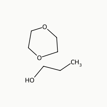 C1COCCO1.CCCO